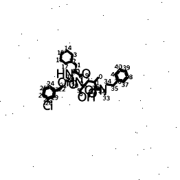 CC(CC(O)(CO)NC(=O)[C@H](CC1CCCCC1)NC(=O)OCc1cccc(Cl)c1)C(=O)N(C)CCc1ccccc1